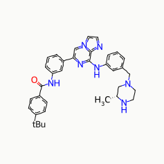 C[C@@H]1CN(Cc2cccc(Nc3nc(-c4cccc(NC(=O)c5ccc(C(C)(C)C)cc5)c4)cn4ccnc34)c2)CCN1